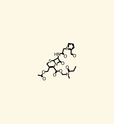 CCC(=O)N(C)COC(=O)C1=C(COC(C)=O)CSC2C(NC(=O)Cn3cccc3C=O)C(=O)N12